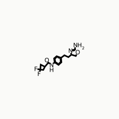 NC1=NC(CCc2ccc(NC(=O)C3CC(F)(F)C3)cc2)CO1